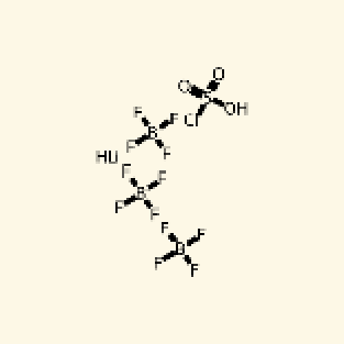 F[B-](F)(F)F.F[B-](F)(F)F.F[B-](F)(F)F.O=S(=O)(O)Cl.[LiH]